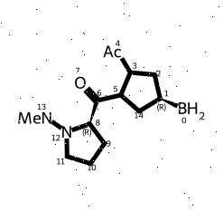 B[C@@H]1CC(C(C)=O)C(C(=O)[C@H]2CCCN2NC)C1